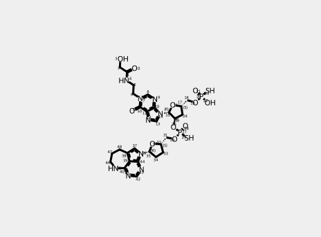 O=C(CO)NCCn1cnc2c(ncn2[C@@H]2O[C@H](COP(=O)(O)S)C[C@H]2OP(=O)(S)OC[C@@H]2CC[C@H](n3cc4c5c(ncnc53)NCCC4)O2)c1=O